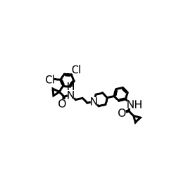 O=C(Nc1cccc(C2CCN(CCCNC(=O)C3(c4ccc(Cl)cc4Cl)CC3)CC2)c1)C1CC1